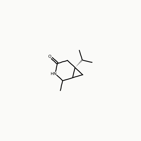 CC1NC(=O)C[C@@]2(C(C)C)CC12